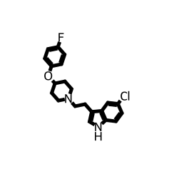 Fc1ccc(OC2CCN(CCc3c[nH]c4ccc(Cl)cc34)CC2)cc1